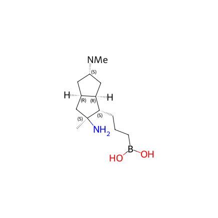 CN[C@H]1C[C@@H]2C[C@](C)(N)[C@@H](CCCB(O)O)[C@@H]2C1